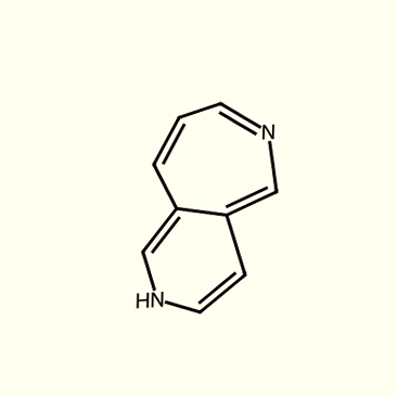 C1=CC2=CNC=CC2=CN=C1